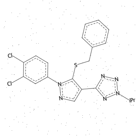 CC(C)n1nnc(-c2cnn(-c3ccc(Cl)c(Cl)c3)c2SCc2ccccc2)n1